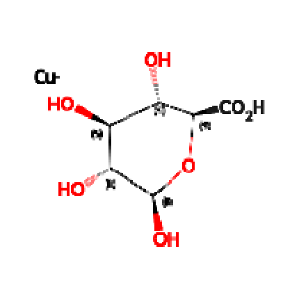 O=C(O)[C@H]1O[C@@H](O)[C@H](O)[C@@H](O)[C@@H]1O.[Cu]